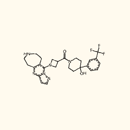 O=C(C1CN(c2c3c(nc4ccnn24)CCNCC3)C1)N1CCC(O)(c2cccc(C(F)(F)F)c2)CC1